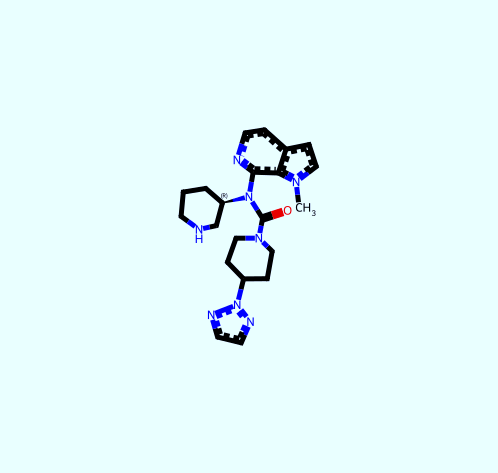 Cn1ccc2ccnc(N(C(=O)N3CCC(n4nccn4)CC3)[C@@H]3CCCNC3)c21